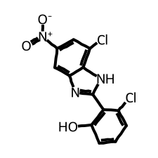 O=[N+]([O-])c1cc(Cl)c2[nH]c(-c3c(O)cccc3Cl)nc2c1